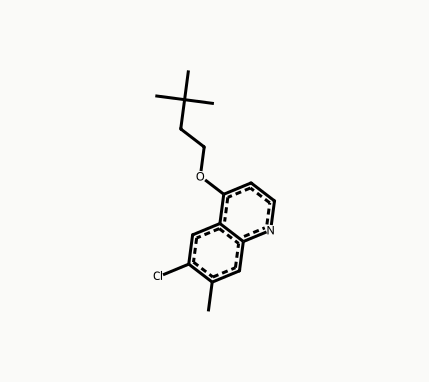 Cc1cc2nccc(OCCC(C)(C)C)c2cc1Cl